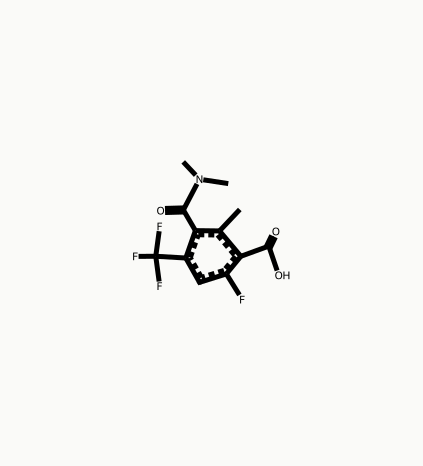 Cc1c(C(=O)O)c(F)cc(C(F)(F)F)c1C(=O)N(C)C